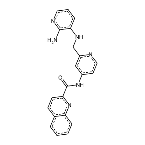 Nc1ncccc1NCc1cc(NC(=O)c2ccc3ccccc3n2)ccn1